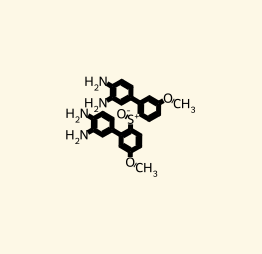 COc1ccc([S+]([O-])c2ccc(OC)cc2-c2ccc(N)c(N)c2)c(-c2ccc(N)c(N)c2)c1